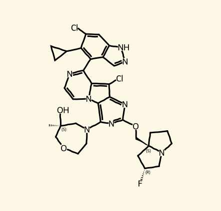 C[C@@]1(O)COCCN(c2nc(OC[C@@]34CCCN3C[C@H](F)C4)nc3c(Cl)c4c(-c5c(C6CC6)c(Cl)cc6[nH]ncc56)nccn4c23)C1